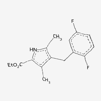 CCOC(=O)c1[nH]c(C)c(Cc2cc(F)ccc2F)c1C